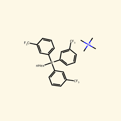 CCCCCC[B-](c1cccc(C(F)(F)F)c1)(c1cccc(C(F)(F)F)c1)c1cccc(C(F)(F)F)c1.C[N+](C)(C)C